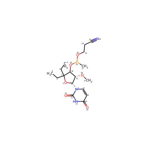 CCC1(CC)O[C@@H](n2ccc(=O)[nH]c2=O)[C@@H](OC)C1OP(C)OCCC#N